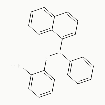 O=Cc1ccccc1ON(c1ccccc1)c1cccc2ccccc12